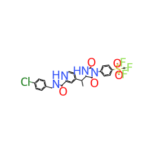 CC(c1ccnc(C(=O)NCc2ccc(Cl)cc2)c1)C1NC(=O)N(c2ccc(S(=O)(=O)C(F)(F)F)cc2)C1=O